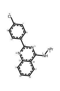 CCCNc1nc(-c2ccc(Cl)cc2)nc2ccccc12